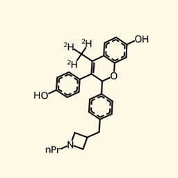 [2H]C([2H])([2H])C1=C(c2ccc(O)cc2)C(c2ccc(CC3CN(CCC)C3)cc2)Oc2cc(O)ccc21